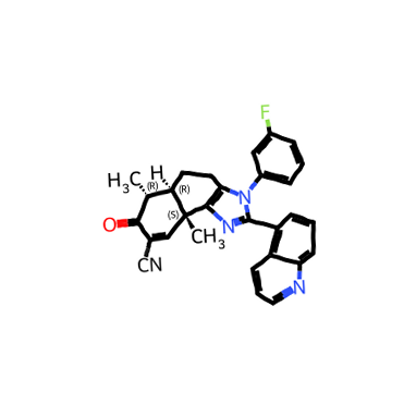 C[C@H]1C(=O)C(C#N)=C[C@@]2(C)c3nc(-c4cccc5ncccc45)n(-c4cccc(F)c4)c3CC[C@H]12